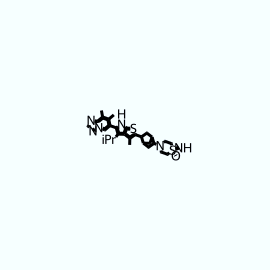 Cc1c(-c2[nH]c3sc(C4CC5CC4CC5N4CCS(=N)(=O)CC4)c(C)c3c2C(C)C)cn2ncnc2c1C